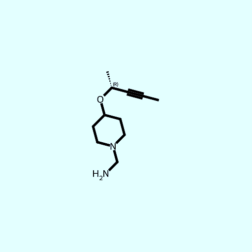 CC#C[C@@H](C)OC1CCN(CN)CC1